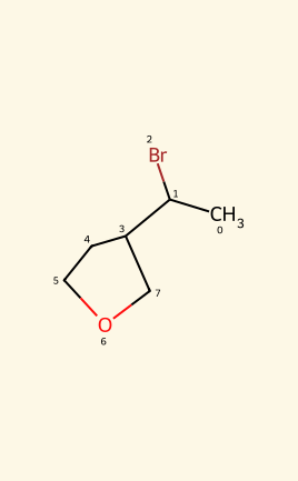 CC(Br)C1CCOC1